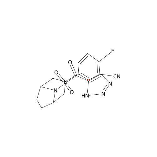 N#Cc1cc(S(=O)(=O)N2C3CCC2CN(C(=O)c2cnn[nH]2)C3)ccc1F